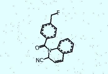 N#CC1C=Cc2ccccc2N1C(=O)c1ccc(CF)cc1